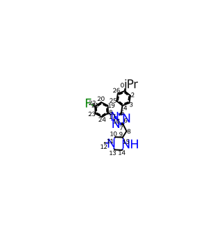 CC(C)c1ccc(-c2nc(CC3CN(C)CCN3)nn2-c2ccc(F)cc2)cc1